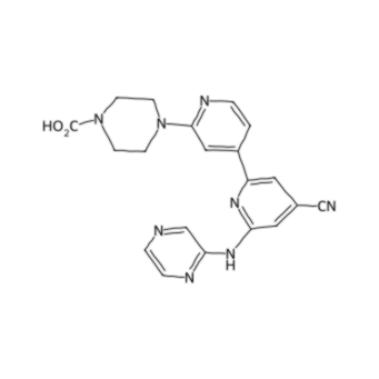 N#Cc1cc(Nc2cnccn2)nc(-c2ccnc(N3CCN(C(=O)O)CC3)c2)c1